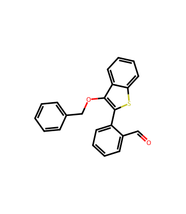 O=Cc1ccccc1-c1sc2ccccc2c1OCc1ccccc1